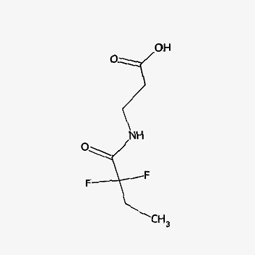 CCC(F)(F)C(=O)NCCC(=O)O